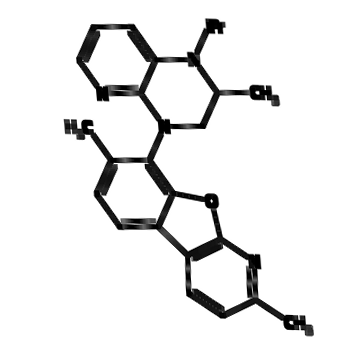 Cc1ccc2c(n1)oc1c(N3CC(C)N(C(C)C)c4cccnc43)c(C)ccc12